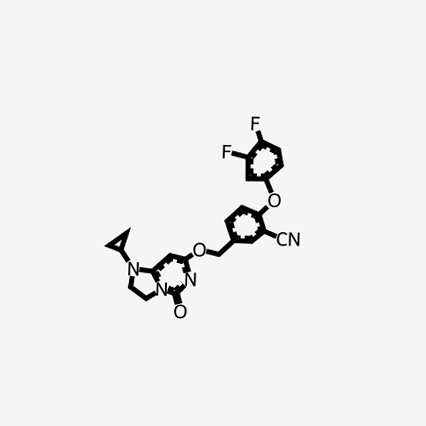 N#Cc1cc(COc2cc3n(c(=O)n2)CCN3C2CC2)ccc1Oc1ccc(F)c(F)c1